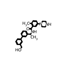 Cc1ccc(N2CCNCC2)cc1C(=O)N[C@H](C)c1cccc(-c2cccc(CO)c2)c1